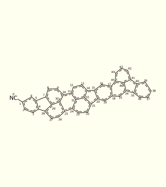 N#Cc1ccc2c(c1)-c1ccc3c4ccc5c6cc7c(cc6c6ccc(c8ccc-2c1c83)c4c65)cc1c2ccccc2c2cccc7c21